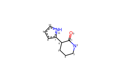 O=C1[N]CCCC1c1ccc[nH]1